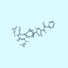 CN(C(=O)c1cccnc1)c1ccc(-c2nc3c([nH]2)c(=O)n(CC2CC2)c(=O)n3CC2CC2)cn1